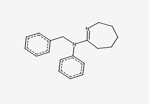 c1ccc(CN(C2=NCCCCC2)c2ccccc2)cc1